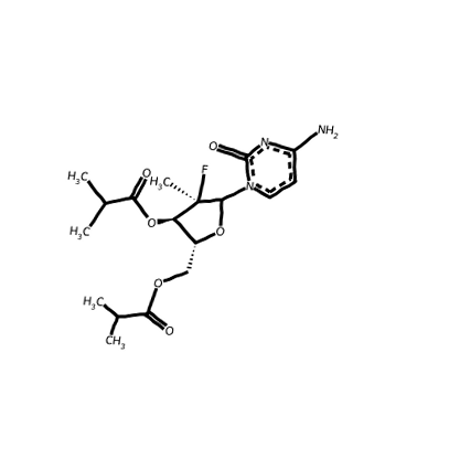 CC(C)C(=O)OC[C@H]1OC(n2ccc(N)nc2=O)[C@](C)(F)[C@@H]1OC(=O)C(C)C